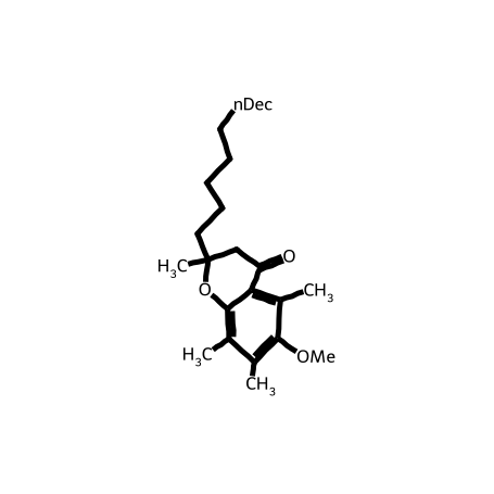 CCCCCCCCCCCCCCCC1(C)CC(=O)c2c(C)c(OC)c(C)c(C)c2O1